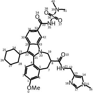 COc1ccc2c(c1)CC(C(=O)NCc1cn(C)cn1)Cn1c-2c(C2CCCCC2)c2ccc(C(=O)NS(=O)(=O)N(C)C)cc21